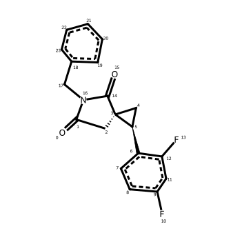 O=C1C[C@@]2(C[C@H]2c2ccc(F)cc2F)C(=O)N1Cc1ccccc1